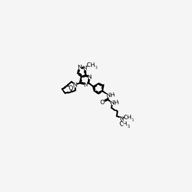 CN(C)CCCNC(=O)Nc1ccc(-c2nc(N3CC4CCC(C3)O4)c3cnn(C)c3n2)cc1